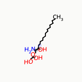 CCCCCCCCCCCCC/C=C/[C@@H](O)[C@@H](N)CO[C@H](O)CO